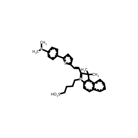 CN(C)c1ccc(-c2ccc(/C=C/C3=[N+](CCCCS(=O)(=O)O)c4ccc5ccccc5c4C3(C)C)s2)cc1